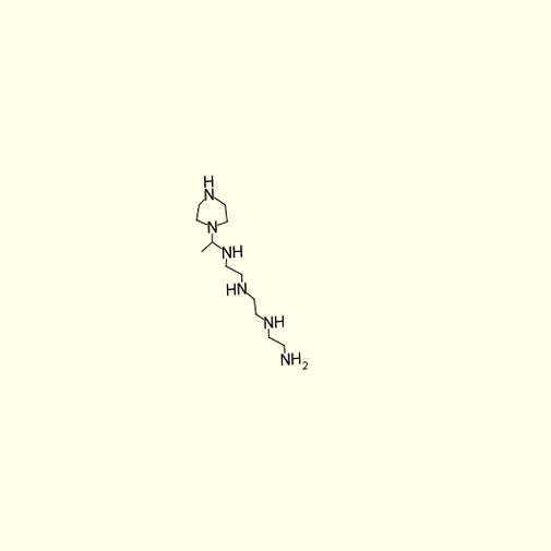 CC(NCCNCCNCCN)N1CCNCC1